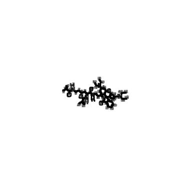 C=C(C)C(=O)NCCCCC(NC(=O)C(=C)C)C(=O)NCCCN1C(=O)c2ccccc2C12c1ccc(N(CC)CC)cc1Oc1cc(N(CC)CC)ccc12